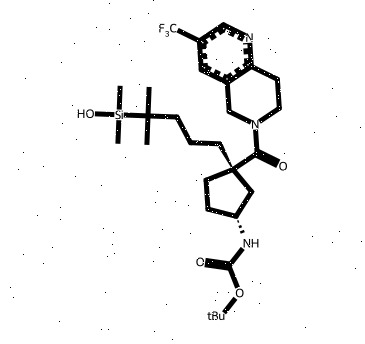 CC(C)(C)OC(=O)N[C@@H]1CC[C@](CCCC(C)(C)[Si](C)(C)O)(C(=O)N2CCc3ncc(C(F)(F)F)cc3C2)C1